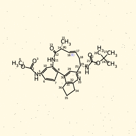 COC(=O)Nc1ccc2c(c1)NC(=O)[C@H](C)/C=C/C[C@H](NC(=O)OC(C)(C)C)c1cc-2c2c(n1)CCC2